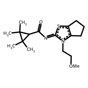 COCCn1c2c(s/c1=N\C(=O)C1C(C)(C)C1(C)C)CCC2